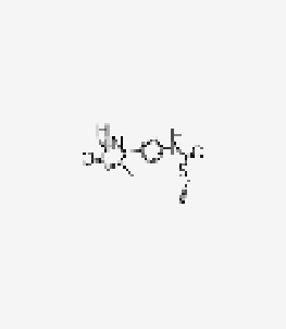 C#CCSC(=O)Nc1ccc(-c2n[nH]c(=O)cc2C)cc1